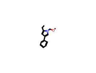 CCc1cc(-c2ccccc2)cn1COC